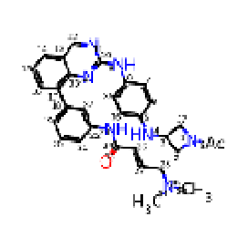 CC(=O)N1CC(Nc2ccc(Nc3ncc4cccc(-c5cccc(NC(=O)/C=C/CN(C)C)c5)c4n3)cc2)C1